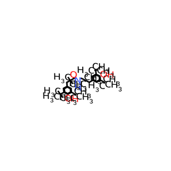 CC(C)(CNC(=O)C(C)(C)Cc1cc(C(C)(C)C)c(O)c(C(C)(C)C)c1)Cc1cc(C(C)(C)C)c(O)c(C(C)(C)C)c1